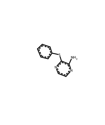 Nc1nccnc1Sc1ccccc1